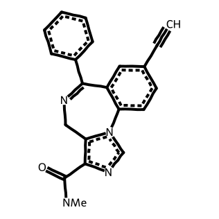 C#Cc1ccc2c(c1)C(c1ccccc1)=NCc1c(C(=O)NC)ncn1-2